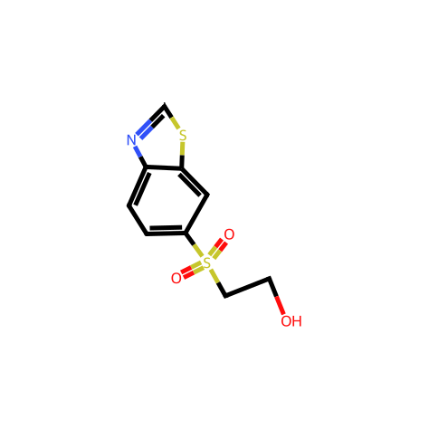 O=S(=O)(CCO)c1ccc2n[c]sc2c1